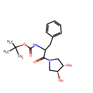 CC(C)(C)OC(=O)NC(Cc1ccccc1)C(=O)N1C[C@H](O)[C@@H](O)C1